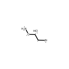 CC(C)CCON.Cl